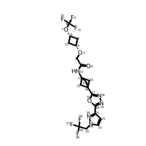 O=C(CO[C@H]1C[C@@H](OC(F)(F)F)C1)NC12CC(c3nnc(-c4ccn(CC(F)(F)F)n4)o3)(C1)C2